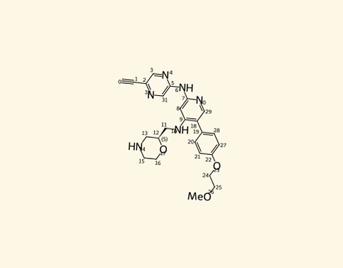 C#Cc1cnc(Nc2cc(NC[C@@H]3CNCCO3)c(-c3ccc(OCCOC)cc3)cn2)cn1